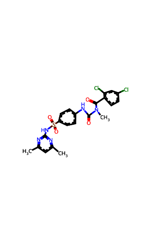 Cc1cc(C)nc(NS(=O)(=O)c2ccc(NC(=O)N(C)C(=O)c3ccc(Cl)cc3Cl)cc2)n1